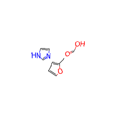 Cc1ccco1.O=CO.c1c[nH]cn1